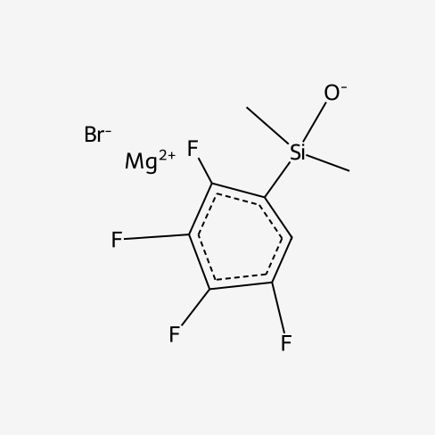 C[Si](C)([O-])c1cc(F)c(F)c(F)c1F.[Br-].[Mg+2]